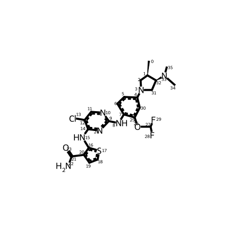 C[C@@H]1CN(c2ccc(Nc3ncc(Cl)c(Nc4sccc4C(N)=O)n3)c(OC(F)F)c2)C[C@@H]1N(C)C